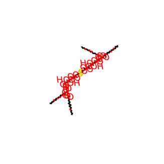 CCCCCCCCCCCCCC(=O)OCC(COC(=O)CCC(=O)CCC(O)C(O)COC(=O)CCC(=O)OCCSSCCOC(=O)CCC(=O)OCC(O)C(O)CCC(=O)OOC(=O)OCC(COC(=O)CCCCCCCCCCCCC)OC(=O)CCCCCCCCCCCCC)OC(=O)CCCCCCCCCCCCC